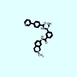 CN1CCc2ccc(NC(=O)c3cccc([C@@H](CO)NC(=O)c4ccc(-c5cccnc5)cc4)c3)cc2C1